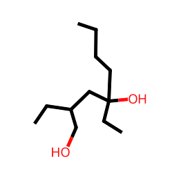 CCCCC(O)(CC)CC(CC)CO